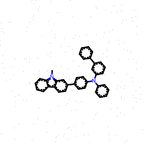 Cn1c2ccccc2c2ccc(-c3ccc(N(c4ccccc4)c4cccc(-c5ccccc5)c4)cc3)cc21